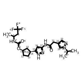 CC(CC(F)(F)F)NC(=O)O[C@@H]1CC[C@H](c2cc(NC(=O)Cc3cnn(C(C)C)c3)n[nH]2)C1